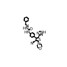 N#Cc1c(N2CCOCC2)sc(-c2nc[nH]n2)c1-c1ccc(NC(=O)N/N=C/c2ccccc2)cc1